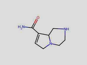 NC(=O)C1=CCN2CCNCC12